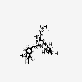 COCCNc1cc(Nc2cc(C)[nH]n2)nc(SCc2ccc3[nH][nH]c(=O)c3c2)n1